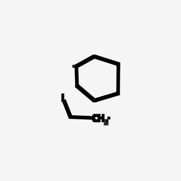 [CH2]CI.[CH]1CCCCC1